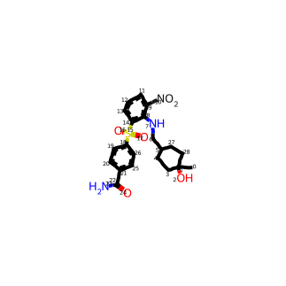 CC1(O)CCC(CNc2c([N+](=O)[O-])cccc2S(=O)(=O)c2ccc(C(N)=O)cc2)CC1